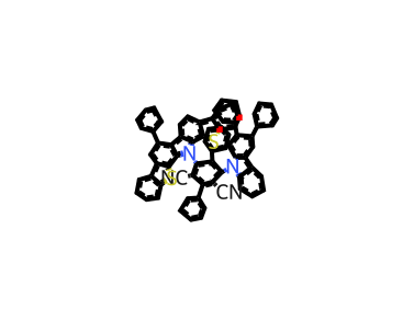 N#Cc1c(-c2ccccc2)c(C#N)c(-n2c3c(ccc4c5ccccc5sc43)c3c(-c4ccccc4)cc4c5ccccc5sc4c32)c(-c2ccccc2)c1-n1c2ccccc2c2cc(-c3ccccc3)c(-c3ccccc3)cc21